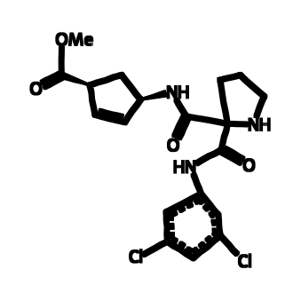 COC(=O)[C@@H]1C=C[C@H](NC(=O)C2(C(=O)Nc3cc(Cl)cc(Cl)c3)CCCN2)C1